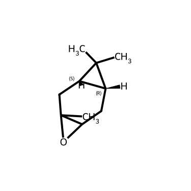 CC12C[C@H]3[C@@H](CC1O2)C3(C)C